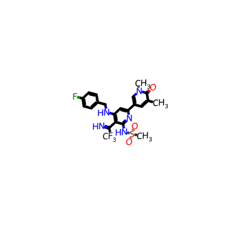 Cc1cc(-c2cc(NCc3ccc(F)cc3)c(C(=N)C(F)(F)F)c(NS(C)(=O)=O)n2)cn(C)c1=O